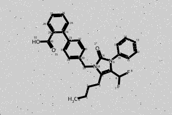 CCCCc1c(C(F)F)n(-c2ccccc2)c(=O)n1Cc1ccc(-c2ccccc2C(=O)O)cc1